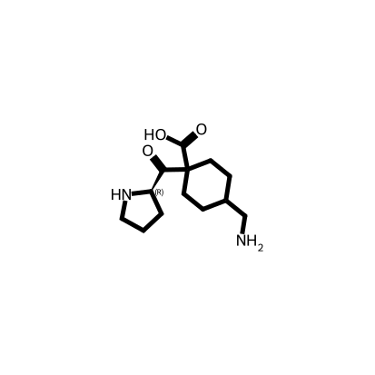 NCC1CCC(C(=O)O)(C(=O)[C@H]2CCCN2)CC1